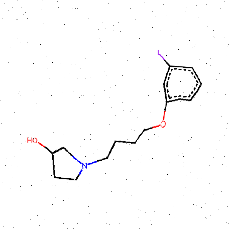 OC1CCN(CCCCOc2cccc(I)c2)C1